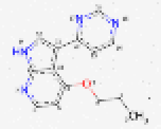 CCCOc1ccnc2[nH]cc(-c3ccncn3)c12